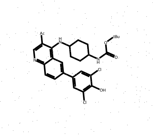 CC(=O)c1cnc2ccc(-c3cc(Cl)c(O)c(Cl)c3)cc2c1NC1CCC(NC(=O)OC(C)(C)C)CC1